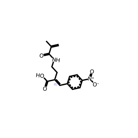 C=C(C)C(=O)NCC/C(=C\c1ccc([N+](=O)[O-])cc1)C(=O)O